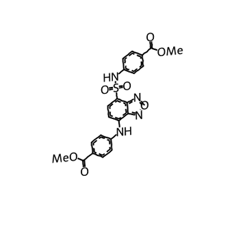 COC(=O)c1ccc(Nc2ccc(S(=O)(=O)Nc3ccc(C(=O)OC)cc3)c3nonc23)cc1